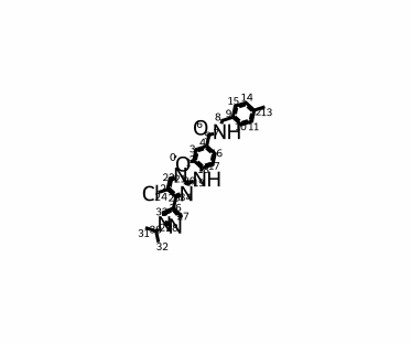 COc1cc(C(=O)NCc2ccc(C)cc2)ccc1Nc1ncc(Cl)c(-c2cnn(C(C)C)c2)n1